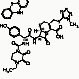 CCN1CCN(C(=O)N[C@@H](C(=O)N[C@@H]2C(=O)N3C(C(=O)O)=C(CSc4nnnn4C)CS[C@H]23)c2ccc(O)cc2)C(=O)C1=O.c1ccc2c(c1)Nc1ccccc1S2